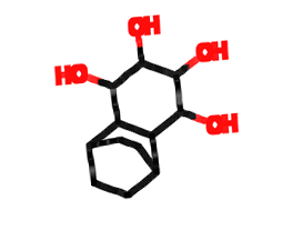 OC1C(O)C(O)C2C3CCC(CC3)C2C1O